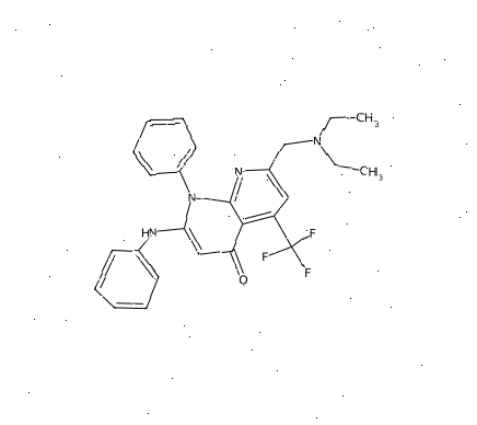 CCN(CC)Cc1cc(C(F)(F)F)c2c(=O)cc(Nc3ccccc3)n(-c3ccccc3)c2n1